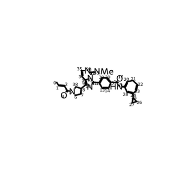 CC=CC(=O)N1CCC(c2nc(-c3ccc(C(=O)NC4=CCC=CC(C5CC5)=C4)cc3)n3c(NC)nccc23)C1